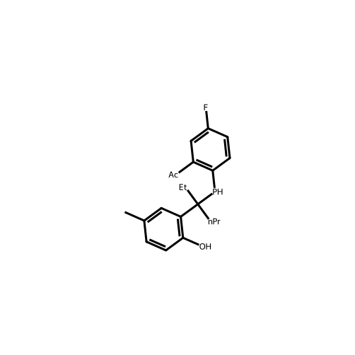 CCCC(CC)(Pc1ccc(F)cc1C(C)=O)c1cc(C)ccc1O